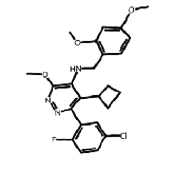 COc1ccc(CNc2c(OC)nnc(-c3cc(Cl)ccc3F)c2C2CCC2)c(OC)c1